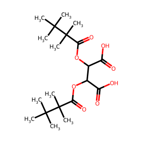 CC(C)(C)C(C)(C)C(=O)OC(C(=O)O)C(OC(=O)C(C)(C)C(C)(C)C)C(=O)O